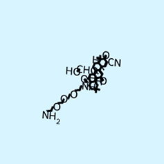 CC1(C)CC[C@]2(C(=O)NCCCOCCOCCOCCCN)CC[C@]3(C)[C@H](C(=O)C=C4[C@@]5(C)C=C(C#N)C(=O)C(C)(C)[C@@H]5CC[C@]43C)[C@@H]2C1.O=CO